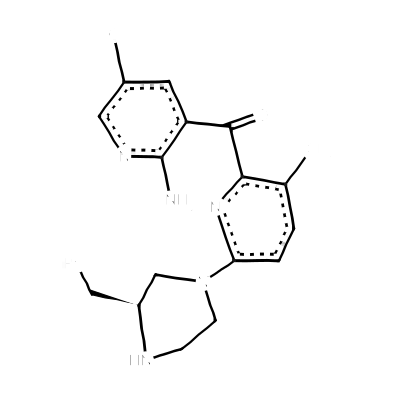 CC(C)C[C@H]1CN(c2ccc(C(F)(F)F)c(C(=O)c3cc(Cl)cnc3N)n2)CCN1